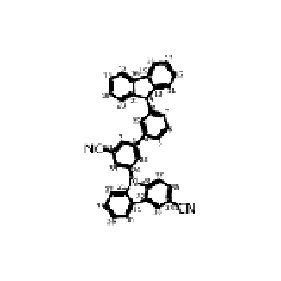 N#Cc1cc(-c2cccc(C3c4ccccc4-c4ccccc43)c2)cc(-n2c3ccccc3c3cc(C#N)ccc32)c1